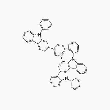 c1ccc(-n2c3ccccc3c3ccc(-c4cccc(-c5cc6c7ccccc7n(-c7ccccc7)c6c6c7ccccc7n(-c7ccccc7)c56)c4)cc32)cc1